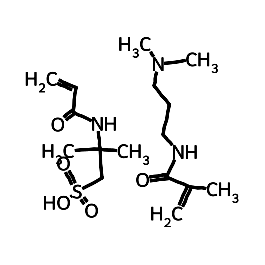 C=C(C)C(=O)NCCCN(C)C.C=CC(=O)NC(C)(C)CS(=O)(=O)O